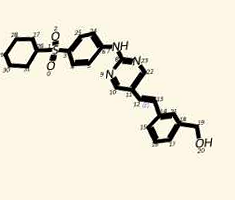 O=S(=O)(c1ccc(Nc2ncc(/C=C/c3cccc(CO)c3)cn2)cc1)C1CCCCC1